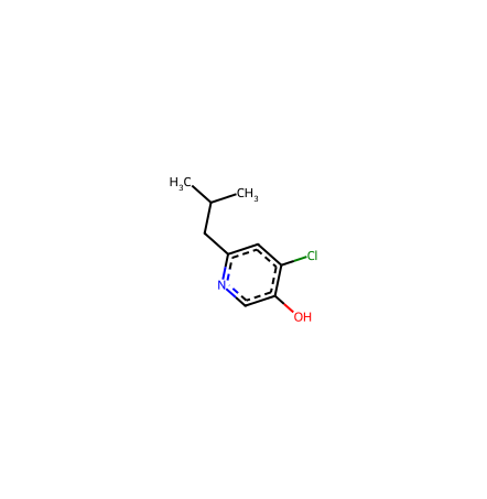 CC(C)Cc1cc(Cl)c(O)cn1